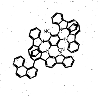 N#Cc1c(-n2c3ccccc3c3ccccc32)c(-n2c3ccccc3c3ccccc32)c(C#N)c(-n2c3cccc(-c4cccc5ccc6ccccc6c45)c3c3ccc4c5ccccc5sc4c32)c1-n1c2ccccc2c2ccccc21